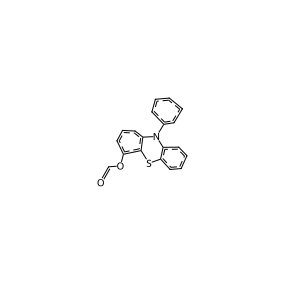 O=COc1cccc2c1Sc1ccccc1N2c1ccccc1